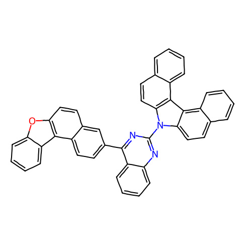 c1ccc2c(c1)ccc1c2c2c3ccccc3ccc2n1-c1nc(-c2ccc3c(ccc4oc5ccccc5c43)c2)c2ccccc2n1